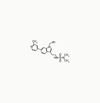 Cc1cc(-c2ccc3c(CCNS(=O)(=O)N(C)C)cn(CC(C)C)c3c2)ccn1